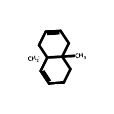 CC12CC=CCC1C=CCC2.[CH2]